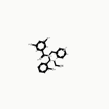 N#CCC[C@H](c1ccccc1Cl)N(Cc1cccnc1)C(=O)c1cc(F)cc(F)c1